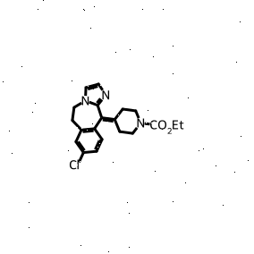 CCOC(=O)N1CCC(=C2c3ccc(Cl)cc3CCn3ccnc32)CC1